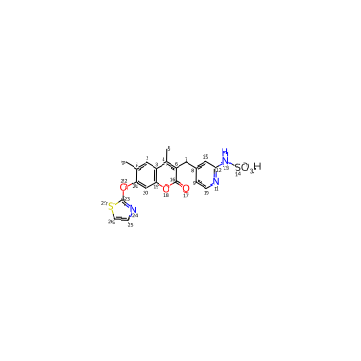 Cc1cc2c(C)c(Cc3ccnc(NS(=O)(=O)O)c3)c(=O)oc2cc1Oc1nccs1